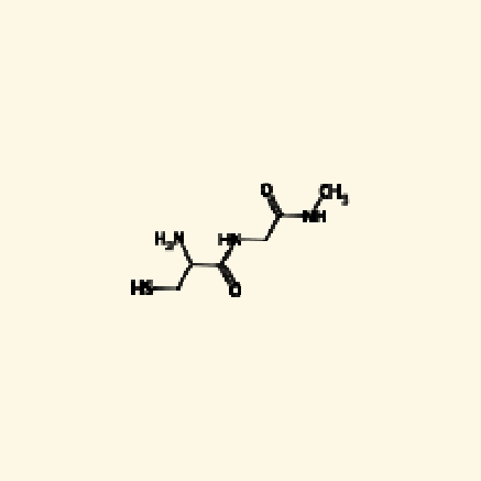 CNC(=O)CNC(=O)C(N)CS